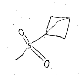 CS(=O)(=O)C12CC(C1)C2